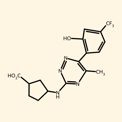 Cc1nc(NC2CCC(C(=O)O)C2)nnc1-c1ccc(C(F)(F)F)cc1O